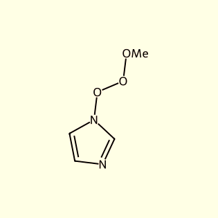 COOOn1ccnc1